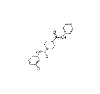 O=C(Nc1ccncc1)C1CCN(C(=O)Nc2cccc(Cl)c2)CC1